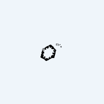 [SiH4].c1ccncc1